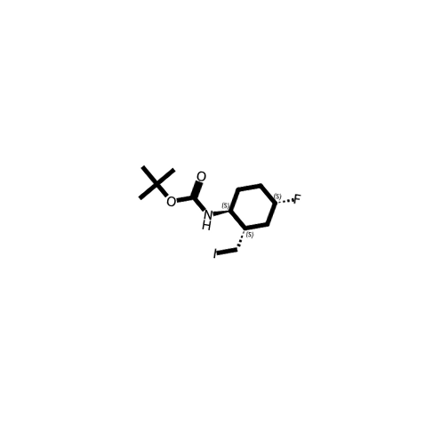 CC(C)(C)OC(=O)N[C@H]1CC[C@H](F)C[C@@H]1CI